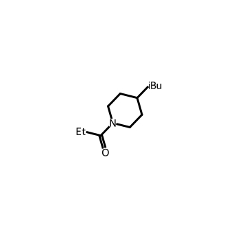 CCC(=O)N1CCC(C(C)CC)CC1